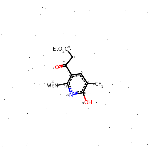 CCOC(=O)CC(=O)c1cc(C(F)(F)F)c(O)nc1NC